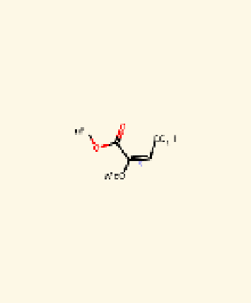 CCCOC(=O)/C(=C\C(=O)O)OC